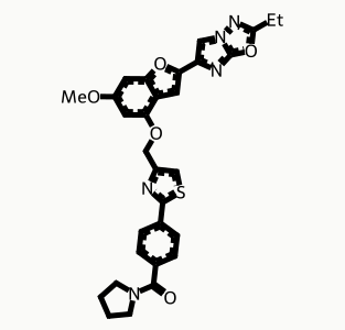 CCc1nn2cc(-c3cc4c(OCc5csc(-c6ccc(C(=O)N7CCCC7)cc6)n5)cc(OC)cc4o3)nc2o1